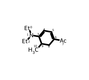 CCN(CC)C1=CC=C(C(C)=O)CC1C